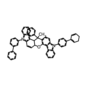 CC1(c2ccccc2)c2ccc3c(c2OC2C=Cc4c(c5ccccc5n4-c4cccc(-c5ccccc5)c4)C21)c1ccccc1n3-c1ccc(C2=CCCC=C2)cc1